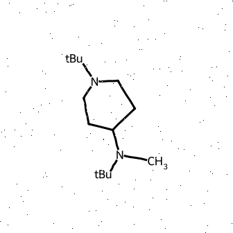 CN(C1CCN(C(C)(C)C)CC1)C(C)(C)C